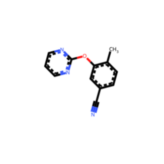 Cc1ccc(C#N)cc1Oc1ncccn1